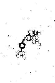 COC(=O)c1ccc(CN2C[C@@H](C)N(C(=O)O)[C@@H](C)C2)cc1